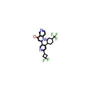 O=c1cc(-c2cnc(C3CC(F)(F)C3)cc2C2CCC(C(F)(F)F)CC2)[nH]c2ccncc12